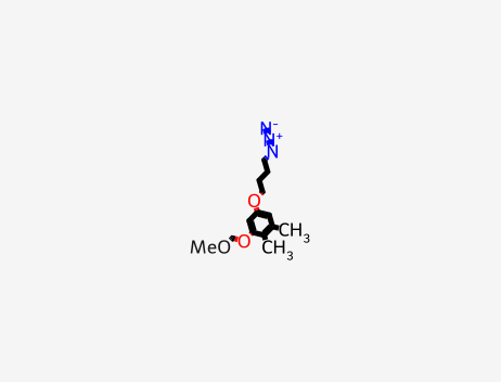 COCOc1cc(OCCCCN=[N+]=[N-])cc(C)c1C